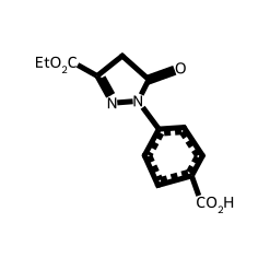 CCOC(=O)C1=NN(c2ccc(C(=O)O)cc2)C(=O)C1